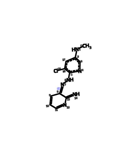 CNc1cnc(N/N=C2/C=CC=NC2=N)c(Cl)c1